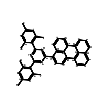 Cc1cc(C)c(-c2nc(-c3c(C)cc(C)cc3C)nc(-c3ccc4c5cccc6cccc(c7cccc3c74)c65)n2)c(C)c1